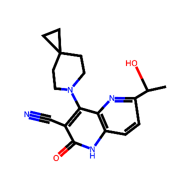 CC(O)c1ccc2[nH]c(=O)c(C#N)c(N3CCC4(CC3)CC4)c2n1